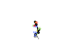 CN1CCC(Nc2cccc3c(CC(F)(F)F)c(C#CCNc4ccc(P5(=O)CCCC5)cc4OCF)sc23)C(F)C1